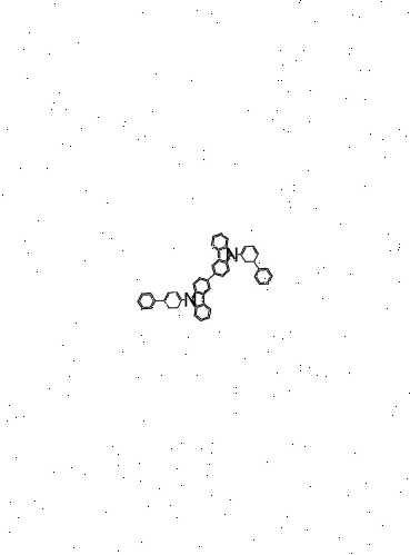 C1=CC(c2ccccc2)CC(n2c3ccccc3c3cc(-c4ccc5c(c4)c4ccccc4n5C4=CC=C(c5ccccc5)CC4)ccc32)=C1